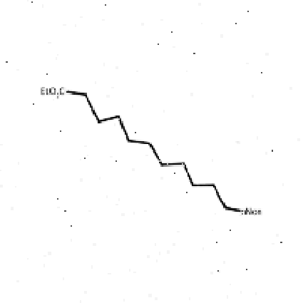 C[CH]OC(=O)CCCCCCCCCCCCCCCCCCC